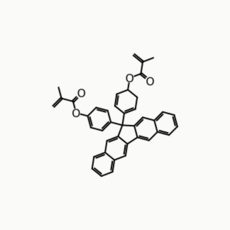 C=C(C)C(=O)Oc1ccc(C2(C3=CCC(OC(=O)C(=C)C)C=C3)c3cc4ccccc4cc3-c3cc4ccccc4cc32)cc1